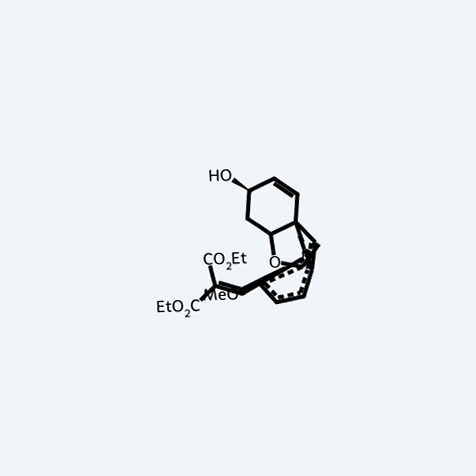 CCOC(=O)C(=CN1CCC23C=C[C@H](O)CC2Oc2c(OC)ccc(c23)C1)C(=O)OCC